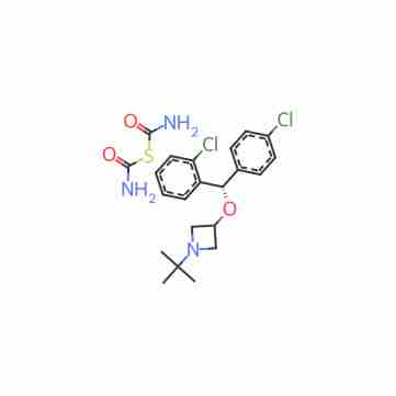 CC(C)(C)N1CC(O[C@@H](c2ccc(Cl)cc2)c2ccccc2Cl)C1.NC(=O)SC(N)=O